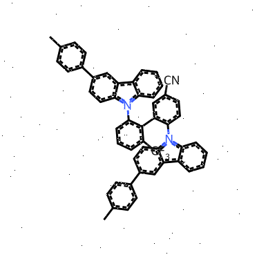 Cc1ccc(-c2ccc3c(c2)c2ccccc2n3-c2ccc(C#N)cc2-c2c(-n3c4ccccc4c4cc(-c5ccc(C)cc5)ccc43)cccc2C(F)(F)F)cc1